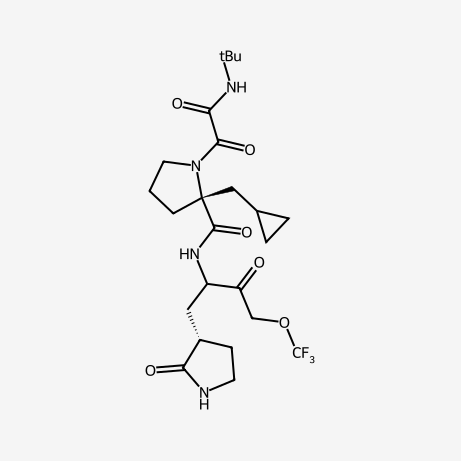 CC(C)(C)NC(=O)C(=O)N1CCC[C@@]1(CC1CC1)C(=O)NC(C[C@@H]1CCNC1=O)C(=O)COC(F)(F)F